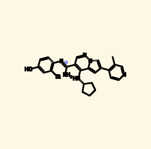 CCc1cc(O)ccc1/N=C(\N)c1cnn2cc(-c3ccncc3C)cc2c1NC1CCCC1